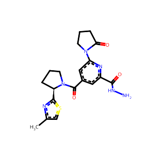 Cc1csc([C@H]2CCCN2C(=O)c2cc(C(=O)NN)nc(N3CCCC3=O)c2)n1